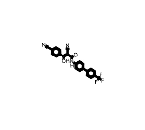 N#CC(C(=O)Nc1ccc(-c2ccc(C(F)(F)F)cc2)cc1)=C(O)c1ccc(C#N)cc1